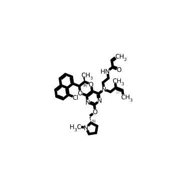 C=CC(=O)NCCN(C/C(C)=C\C)c1nc(OC[C@@H]2CCCN2C)nc2c1O[C@H](C)C(c1cccc3cccc(Cl)c13)O2